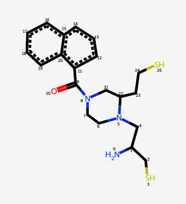 NC(CS)CN1CCN(C(=O)c2cccc3ccccc23)CC1CCS